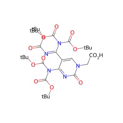 CC(C)(C)OC(=O)N=C(c1cn(CC(=O)O)c(=O)nc1N(C(=O)OC(C)(C)C)C(=O)OC(C)(C)C)N(C(=O)OC(C)(C)C)C(=O)OC(C)(C)C